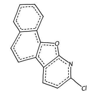 Clc1ccc2c(n1)oc1c3ccccc3ccc21